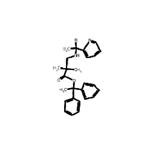 CCC(C)(BCC(C)(C)C(=O)OC(C)(c1ccccc1)c1ccccc1)c1ccccn1